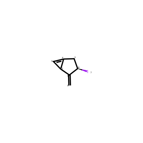 C=C1C2C=C2C[C@H]1I